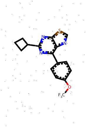 FC(F)(F)Oc1ccc(-c2nc(C3CCC3)nc3scnc23)cc1